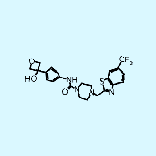 O=C(Nc1ccc(C2(O)COC2)cc1)N1CCN(Cc2nc3ccc(C(F)(F)F)cc3s2)CC1